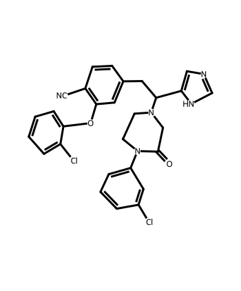 N#Cc1ccc(CC(c2cnc[nH]2)N2CCN(c3cccc(Cl)c3)C(=O)C2)cc1Oc1ccccc1Cl